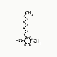 CCCCCCCCc1cc(C)ccc1O